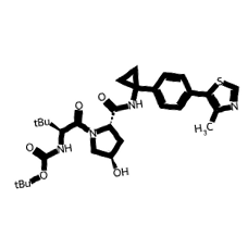 Cc1ncsc1-c1ccc(C2(NC(=O)[C@@H]3C[C@@H](O)CN3C(=O)[C@@H](NC(=O)OC(C)(C)C)C(C)(C)C)CC2)cc1